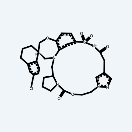 O=C1Cc2cnn(c2)CCOC(=O)N2CCCC2CN2C[C@@]3(CCCc4cc(Cl)ccc43)COc3ccc(cc32)S(=O)(=O)N1